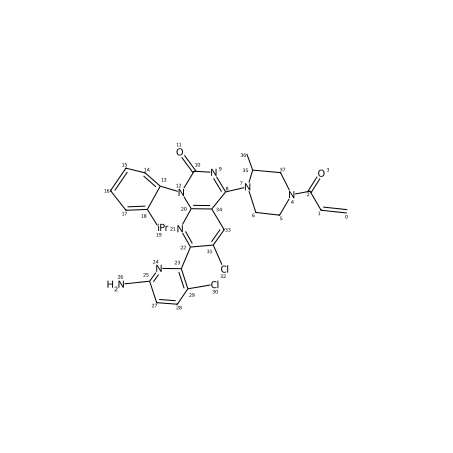 C=CC(=O)N1CCN(c2nc(=O)n(-c3ccccc3C(C)C)c3nc(-c4nc(N)ccc4Cl)c(Cl)cc23)C(C)C1